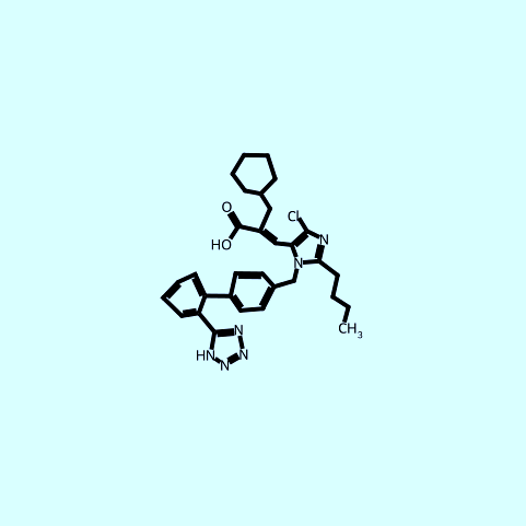 CCCCc1nc(Cl)c(/C=C(\CC2CCCCC2)C(=O)O)n1Cc1ccc(-c2ccccc2-c2nnn[nH]2)cc1